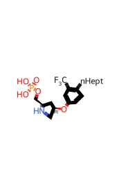 CCCCCCCc1ccc(O[C@H]2CN[C@@H](COP(=O)(O)O)C2)cc1C(F)(F)F